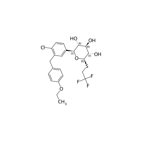 CCOc1ccc(Cc2cc([C@@H]3O[C@H](SCC(F)(F)F)[C@@H](O)[C@H](O)[C@H]3O)ccc2Cl)cc1